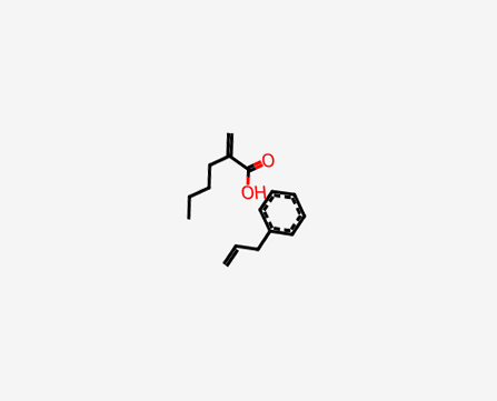 C=C(CCCC)C(=O)O.C=CCc1ccccc1